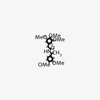 COc1ccc(C(C)NC(=O)Cc2cc(OC)c(OC)c(OC)c2)cc1OC